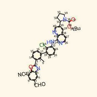 Cc1c(-c2nc3cc(C=O)cc(C#N)c3o2)cccc1-c1cccc(Nc2nccc3cc(C4CCCN4C(=O)OC(C)(C)C)cnc23)c1Cl